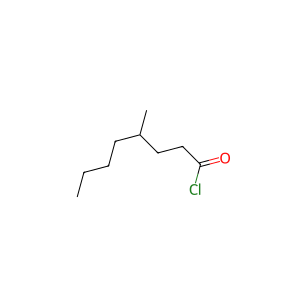 CCCCC(C)CCC(=O)Cl